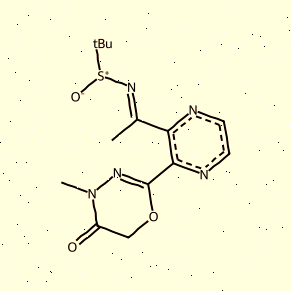 C/C(=N\[S+]([O-])C(C)(C)C)c1nccnc1C1=NN(C)C(=O)CO1